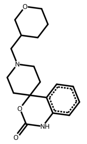 O=C1Nc2ccccc2C2(CCN(CC3CCCOC3)CC2)O1